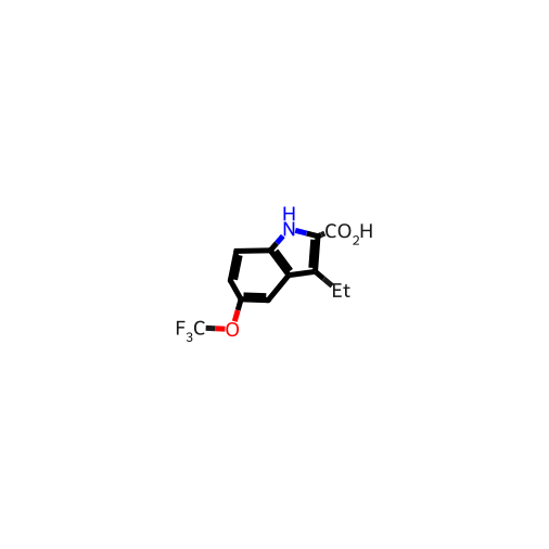 CCc1c(C(=O)O)[nH]c2ccc(OC(F)(F)F)cc12